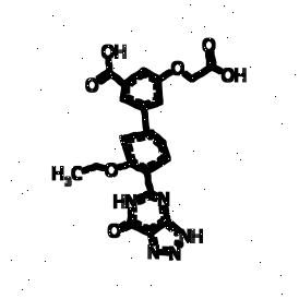 CCOc1cc(-c2cc(OCC(=O)O)cc(C(=O)O)c2)ccc1-c1nc2[nH]nnc2c(=O)[nH]1